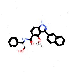 COc1c(C(=O)N[C@H](CO)c2ccccc2)ccc2[nH]nc(-c3ccc4ccccc4c3)c12